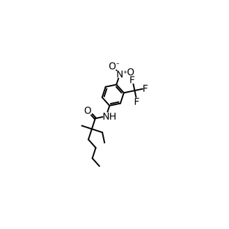 CCCCC(C)(CC)C(=O)Nc1ccc([N+](=O)[O-])c(C(F)(F)F)c1